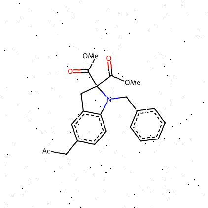 COC(=O)C1(C(=O)OC)Cc2cc(CC(C)=O)ccc2N1Cc1ccccc1